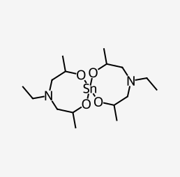 CCN1CC(C)[O][Sn]2([O]C(C)C1)[O]C(C)CN(CC)CC(C)[O]2